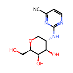 N#Cc1ccnc(N[C@H]2CO[C@H](CO)[C@H](O)[C@@H]2O)n1